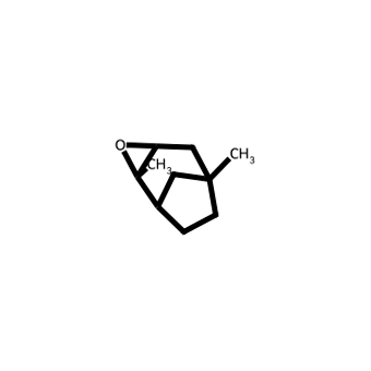 CC12CCC(C1)C1(C)OC1C2